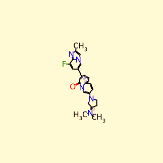 Cc1cn2cc(C3=C\C(=O)N4C=C(N5CC[C@@H](N(C)C)C5)C=C\C4=C/C=C/3)cc(F)c2n1